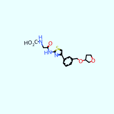 O=C(O)NCC(=O)Nc1nc(-c2cccc(COC3CCOC3)c2)cs1